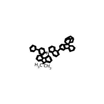 CC1(C)c2ccccc2-c2c(N(c3ccc(-c4ccccc4)cc3)c3cccc4c(-c5ccc6c(c5)C5=CC=CCC5C65C6CC7CC(C6)CC5C7)cccc34)cccc21